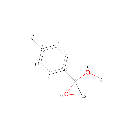 COC1(c2ccc(C)cc2)CO1